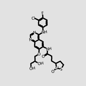 O=C(CCC1CCS[S+]1[O-])Nc1cc2c(Nc3ccc(F)c(Cl)c3)ncnc2cc1OCC(O)CO